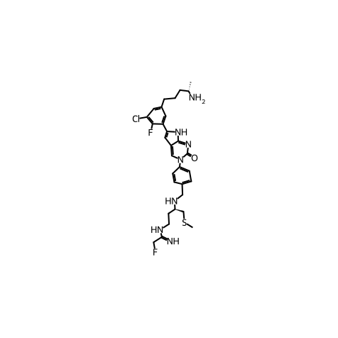 CSC[C@@H](CCNC(=N)CF)NCc1ccc(-n2cc3cc(-c4cc(CCC[C@H](C)N)cc(Cl)c4F)[nH]c3nc2=O)cc1